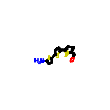 Nc1ccc(-c2ccc(-c3ccc(C=O)s3)s2)s1